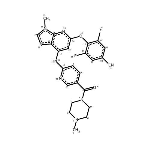 CN1CCN(C(=O)c2ccc(Nc3cc(Oc4c(F)cc(C#N)cc4F)nc4c3ncn4C)nc2)CC1